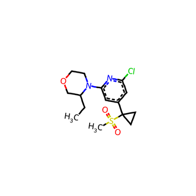 CCC1COCCN1c1cc(C2(S(C)(=O)=O)CC2)cc(Cl)n1